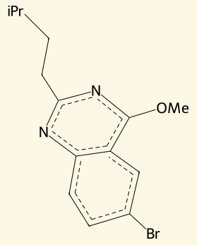 COc1nc(CCC(C)C)nc2ccc(Br)cc12